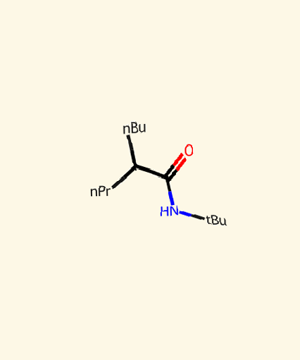 CCCC[C](CCC)C(=O)NC(C)(C)C